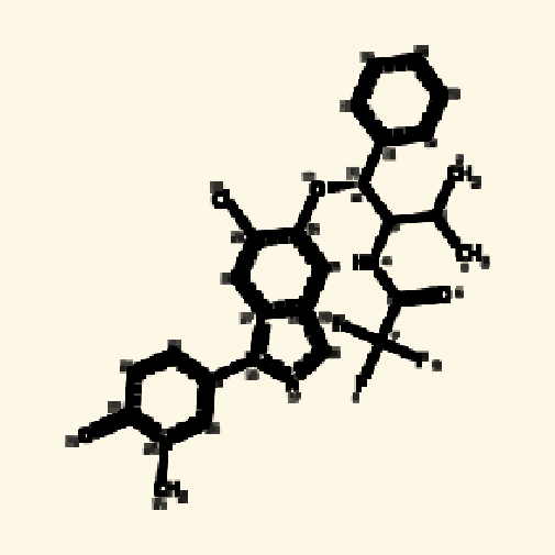 CC(C)C(NC(=O)C(F)(F)F)[C@H](Oc1cc2cnn(-c3ccc(=O)n(C)c3)c2cc1Cl)c1ccccc1